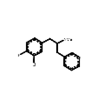 CNC([CH]c1ccc(F)c(Cl)c1)Cc1ccccc1